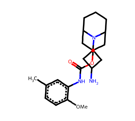 COc1ccc(C)cc1NC(=O)OC1CC2CCCC(C1)N2C1CC(N)C1